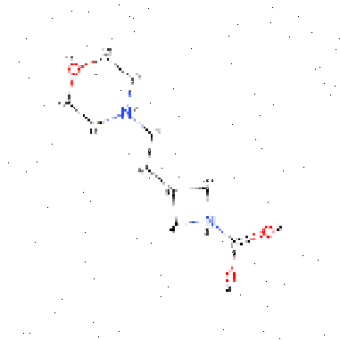 O=C(O)N1CC(CCN2CCOCC2)C1